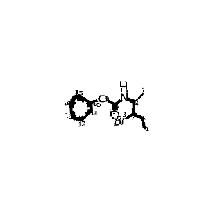 CCC(Br)[C@H](C)NC(=O)Oc1ccccc1